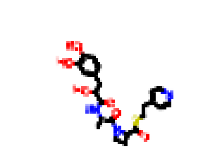 CC(NC(=O)C(O)Cc1ccc(O)c(O)c1)C(=O)N1CCC1C(=O)SCCc1ccncc1